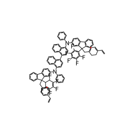 C=CC1=CC=C(CC2(c3c(F)c(F)c(F)c(F)c3F)c3ccccc3-c3ccc(N(c4ccccc4)c4ccc(-c5ccc(N(c6ccccc6)c6ccc7c(c6)C(Cc6ccc(C=C)cc6)(C6C(F)=C(F)C(F)=C(F)C6F)c6ccccc6-7)c6ccccc56)c5ccccc45)cc32)CC1